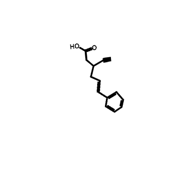 C#CC(C/C=C/c1ccccc1)CC(=O)O